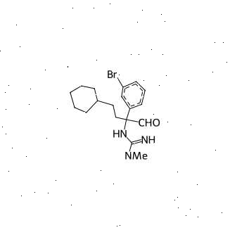 CNC(=N)NC(C=O)(CCC1CCCCC1)c1cccc(Br)c1